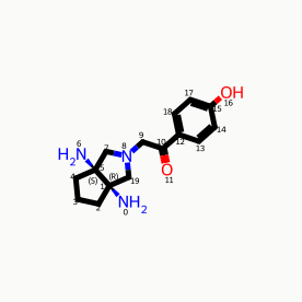 N[C@@]12CCC[C@]1(N)CN(CC(=O)c1ccc(O)cc1)C2